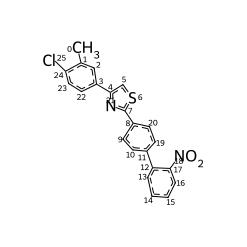 Cc1cc(-c2csc(-c3ccc(-c4ccccc4[N+](=O)[O-])cc3)n2)ccc1Cl